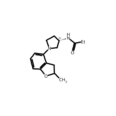 CCC(=O)N[C@H]1CCN(c2cccc3c2CC(C)O3)C1